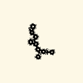 c1ccc(-c2nc3cc4c(cc3s2)c2cc(-c3ccc5c(c3)c3ccccc3n5-c3cccc(-c5ccc6sc7ccccc7c6c5)c3)ccc2n4-c2ccccc2)cc1